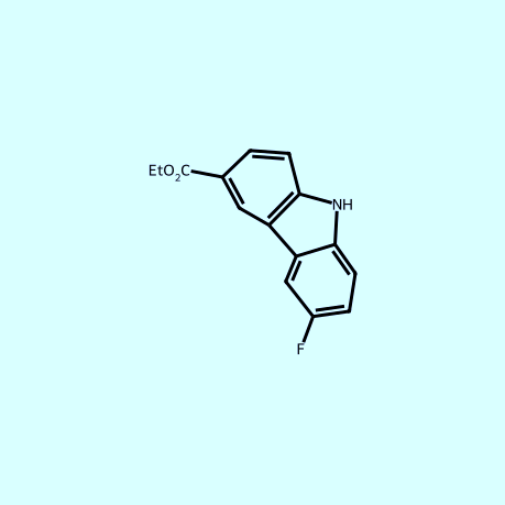 CCOC(=O)c1ccc2[nH]c3ccc(F)cc3c2c1